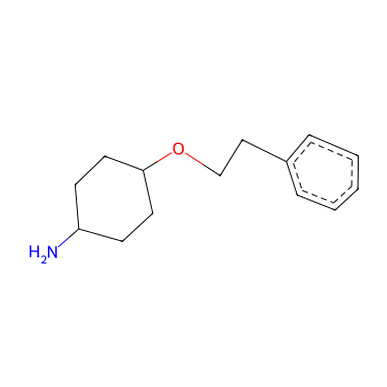 NC1CCC(OCCc2ccccc2)CC1